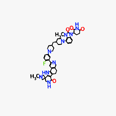 CN1CC2(CNC(=O)c3c2[nH]c2c3CCc3cnc(-c4cc(N5CCC(CC6CCN(c7cccc8c7n(C)c(=O)n8C7CCC(=O)NC7=O)CC6)CC5)ccc4F)cc3-2)C1